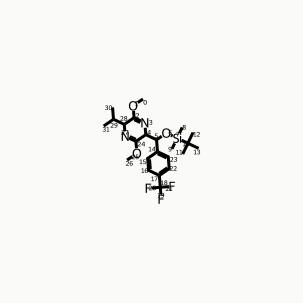 COC1=NC(C(O[Si](C)(C)C(C)(C)C)c2ccc(C(F)(F)F)cc2)C(OC)=NC1C(C)C